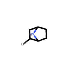 CCC1CC2CCC1N2